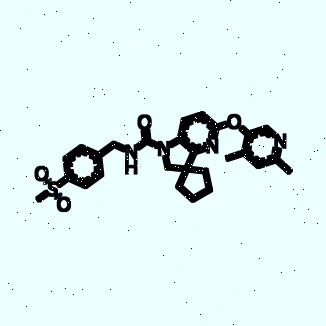 Cc1cc(C)c(Oc2ccc3c(n2)C2(CCCC2)CN3C(=O)NCc2ccc(S(C)(=O)=O)cc2)cn1